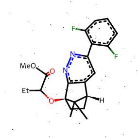 CCC(O[C@@]12CC[C@@H](c3cc(-c4c(F)cccc4F)nnc31)C2(C)C)C(=O)OC